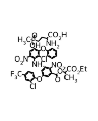 CCOC(=O)C(C)OC(=O)c1cc(Oc2ccc(C(F)(F)F)cc2Cl)ccc1[N+](=O)[O-].CP(=O)(O)CCC(N)C(=O)O.Nc1c([N+](=O)[O-])ccc(Oc2ccccc2)c1Cl